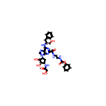 O=C(CO)N[C@H]1C[C@H](n2cnc3c(N[C@H](CO)Cc4ccccc4)nc(C(=O)NCCNC(=O)Oc4ccccc4)nc32)C(O)[C@@H]1O